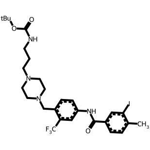 Cc1ccc(C(=O)Nc2ccc(CN3CCN(CCCNC(=O)OC(C)(C)C)CC3)c(C(F)(F)F)c2)cc1I